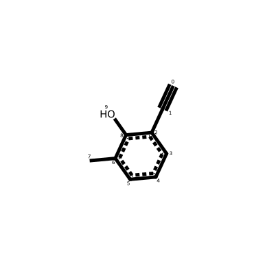 C#Cc1cccc(C)c1O